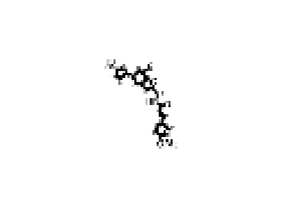 COc1ccc(/C=C/C(=O)NCC2Cc3cc(-c4ccc(C(C)=O)s4)cc(Cl)c3O2)cn1